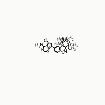 BC1(B)OC(C)(C)C(=O)N(c2cc(-c3cc(Cl)c4c(N)ncnn34)ccc2C#N)C1(B)C